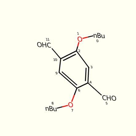 CCCCOc1cc(C=O)c(OCCCC)cc1C=O